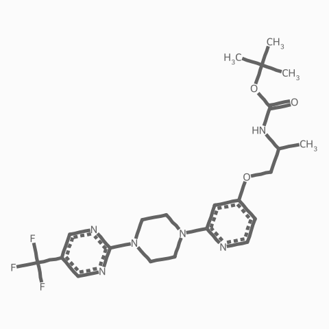 CC(COc1ccnc(N2CCN(c3ncc(C(F)(F)F)cn3)CC2)c1)NC(=O)OC(C)(C)C